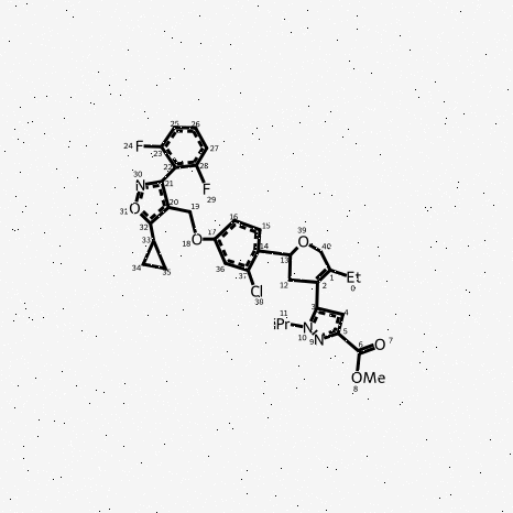 CCC1=C(c2cc(C(=O)OC)nn2C(C)C)CC(c2ccc(OCc3c(-c4c(F)cccc4F)noc3C3CC3)cc2Cl)OC1